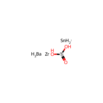 [BaH2].[O]=[Ti]([OH])[OH].[SnH2].[Zr]